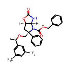 C[C@@H](OC[C@@]1(c2ccccc2)C[C@H]2OC(=O)N[C@H]2N1C(=O)OCc1ccccc1)c1cc(C(F)(F)F)cc(C(F)(F)F)c1